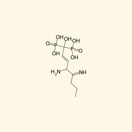 CCCC(=N)C(N)C=CC(O)(P(=O)(O)O)P(=O)(O)O